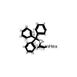 CCCCCC/C=C(/I)OC(c1ccccc1)(c1ccccc1)c1ccccc1